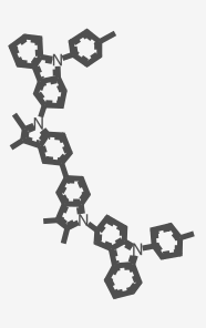 Cc1ccc(-n2c3ccccc3c3cc(-n4c(C)c(C)c5cc(-c6ccc7c(c6)c(C)c(C)n7-c6ccc7c(c6)c6ccccc6n7-c6ccc(C)cc6)ccc54)ccc32)cc1